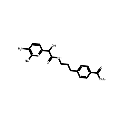 COC(=O)c1ccc(CCCNC(=O)C(O)c2ccc(N)c(C#N)n2)cc1